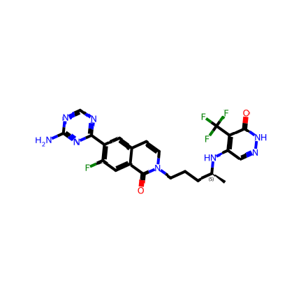 C[C@@H](CCCn1ccc2cc(-c3ncnc(N)n3)c(F)cc2c1=O)Nc1cn[nH]c(=O)c1C(F)(F)F